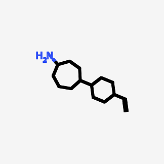 C=CC1CCC(C2CCCC(N)CC2)CC1